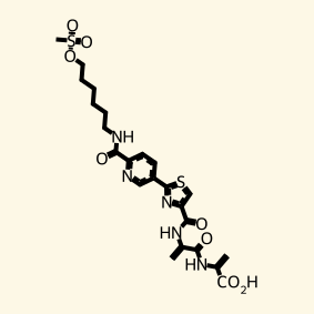 C=C(NC(=O)C(=C)NC(=O)c1csc(-c2ccc(C(=O)NCCCCCCOS(C)(=O)=O)nc2)n1)C(=O)O